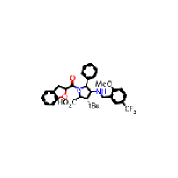 COc1ccc(C(F)(F)F)cc1CN[C@H]1[C@H](C(C)(C)C)[C@@H](C(=O)O)N(C(=O)C2Cc3ccccc3O2)[C@H]1c1ccccc1